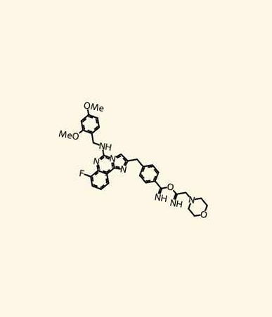 COc1ccc(CNc2nc3c(F)cccc3c3nc(Cc4ccc(C(=N)OC(=N)CN5CCOCC5)cc4)cn23)c(OC)c1